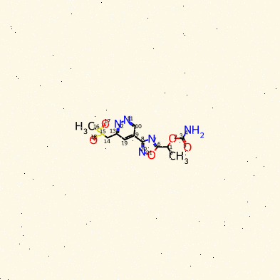 CC(OC(N)=O)c1nc(-c2cnnc(CS(C)(=O)=O)c2)no1